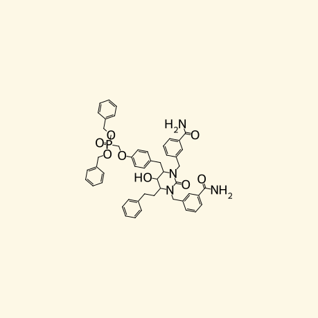 NC(=O)c1cccc(CN2C(=O)N(Cc3cccc(C(N)=O)c3)C(Cc3ccc(OCP(=O)(OCc4ccccc4)OCc4ccccc4)cc3)C(O)C2CCc2ccccc2)c1